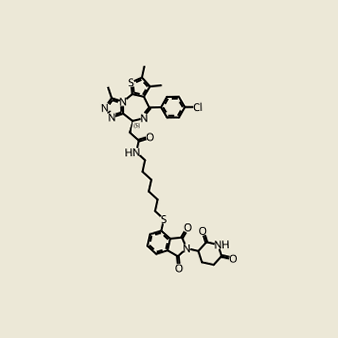 Cc1sc2c(c1C)C(c1ccc(Cl)cc1)=N[C@@H](CC(=O)NCCCCCCSc1cccc3c1C(=O)N(C1CCC(=O)NC1=O)C3=O)c1nnc(C)n1-2